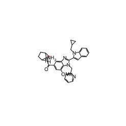 COc1cc(C(=O)N2CC3CCC2[C@@H]3N)cc2nc(-c3cc4ccccc4n3CC3CC3)n(Cc3ccccn3)c12